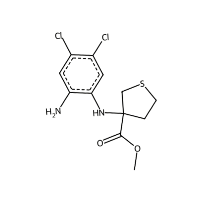 COC(=O)C1(Nc2cc(Cl)c(Cl)cc2N)CCSC1